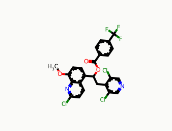 COc1ccc(C(Cc2c(Cl)cncc2Cl)OC(=O)c2ccc(C(F)(F)F)cc2)c2ccc(Cl)nc12